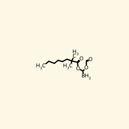 BC(OC=O)OC(=O)C(C)(C)CCCCCC